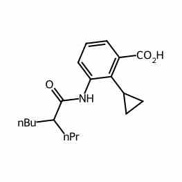 CCCCC(CCC)C(=O)Nc1cccc(C(=O)O)c1C1CC1